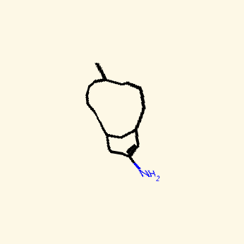 CC1CCCC2C=C(N)CC(CCC1)C2